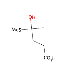 CSC(C)(O)CCC(=O)O